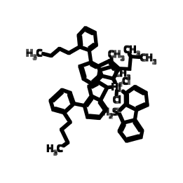 CCCCc1ccccc1-c1cccc2c1C=C(CC(C)C)[CH]2[Hf]([Cl])([Cl])([c]1cccc2c1[SiH2]c1ccccc1-2)[CH]1C(CC(C)C)=Cc2c(-c3ccccc3CCCC)cccc21